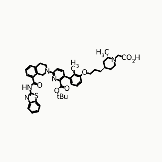 Cc1c(OCCC[C@@H]2CCN(CC(=O)O)[C@@H](C)C2)cccc1-c1ccc(N2CCc3cccc(C(=O)Nc4nc5ccccc5s4)c3C2)nc1C(=O)OC(C)(C)C